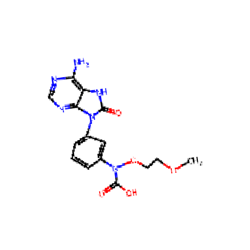 COCCON(C(=O)O)c1cccc(-n2c(=O)[nH]c3c(N)ncnc32)c1